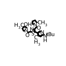 Cc1cc(NC(C)(C)C)ncc1-c1sc(C(=O)N2CC[C@](C)(O)C2)nc1C(=O)N1CCC[C@@H]1C